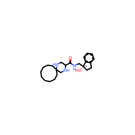 O=C(NC[C@]1(O)CCc2ccccc21)C1CNC2(CCCCCCCCC2)CN1